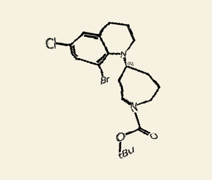 CC(C)(C)OC(=O)N1CCC[C@H](N2CCCc3cc(Cl)cc(Br)c32)CC1